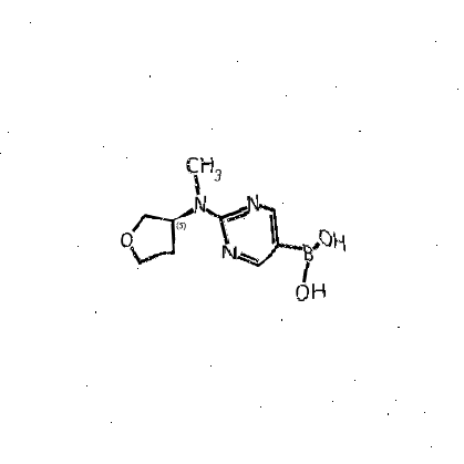 CN(c1ncc(B(O)O)cn1)[C@H]1CCOC1